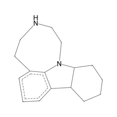 c1cc2c3c(c1)C1CCCCC1N3CCNCC2